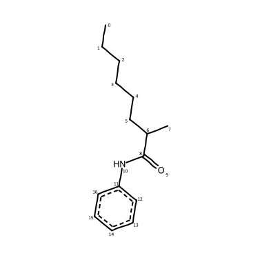 CCCCCCC(C)C(=O)Nc1ccccc1